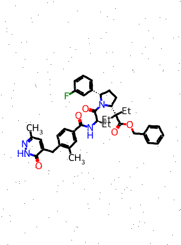 CC[C@@H](NC(=O)c1ccc(Cc2cc(C)n[nH]c2=O)c(C)c1)C(=O)N1[C@H](c2cccc(F)c2)CC[C@@H]1C(CC)(CC)C(=O)OCc1ccccc1